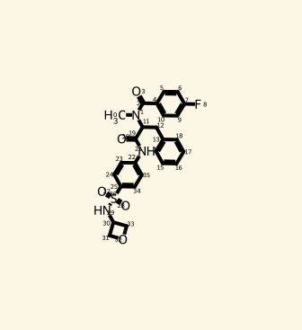 CN(C(=O)c1ccc(F)cc1)C(Cc1ccccc1)C(=O)Nc1ccc(S(=O)(=O)NC2COC2)cc1